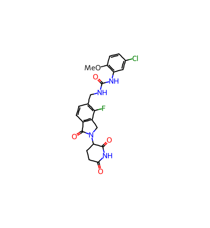 COc1ccc(Cl)cc1NC(=O)NCc1ccc2c(c1F)CN(C1CCC(=O)NC1=O)C2=O